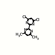 Cc1cc(C)nc(-c2nc(Cl)cc(Cl)n2)n1